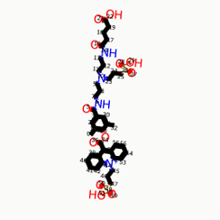 Cc1cc(C(=O)NCCCN(CCCNC(=O)CCCC(=O)O)CCCS(=O)(=O)O)cc(C)c1OC(=O)c1c2ccccc2[n+](CCCS(=O)(=O)O)c2ccccc12